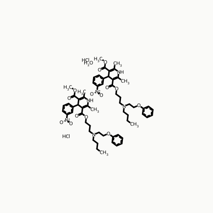 CCCCN(CCCOC(=O)C1=C(C)NC(C)=C(C(=O)OC)C1c1cccc([N+](=O)[O-])c1)CCOc1ccccc1.CCCCN(CCCOC(=O)C1=C(C)NC(C)=C(C(=O)OC)C1c1cccc([N+](=O)[O-])c1)CCOc1ccccc1.Cl.Cl.O